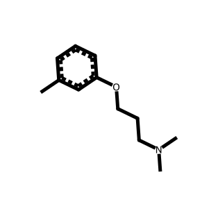 Cc1cccc(OCCCN(C)C)c1